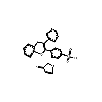 NS(=O)(=O)c1ccc(C2=C(c3cccnc3)Cc3ccccc3O2)cc1.S=C1C=COC1